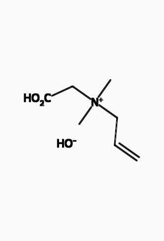 C=CC[N+](C)(C)CC(=O)O.[OH-]